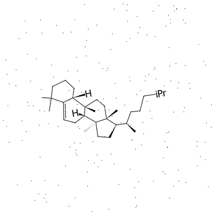 CC(C)CCC[C@@H](C)[C@H]1CC[C@@]2(C)[C@@H]3CC=C4[C@H](CCCC4(C)C)[C@]3(C)CC[C@]12C